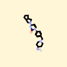 NC1CCN(Cc2ccc(-n3ccc(N4CC5CCCC5C4)nc3=O)cc2)CC1